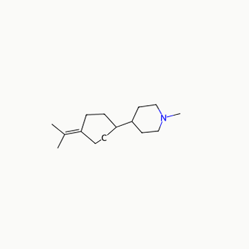 CC(C)=C1CCC(C2CCN(C)CC2)CC1